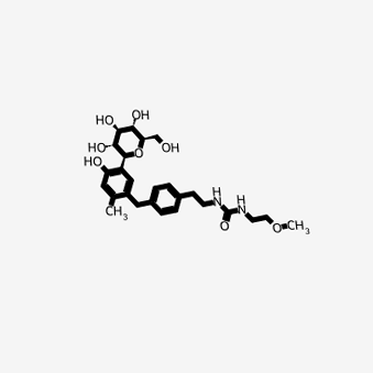 COCCNC(=O)NCCc1ccc(Cc2cc([C@@H]3O[C@H](CO)[C@@H](O)[C@H](O)[C@H]3O)c(O)cc2C)cc1